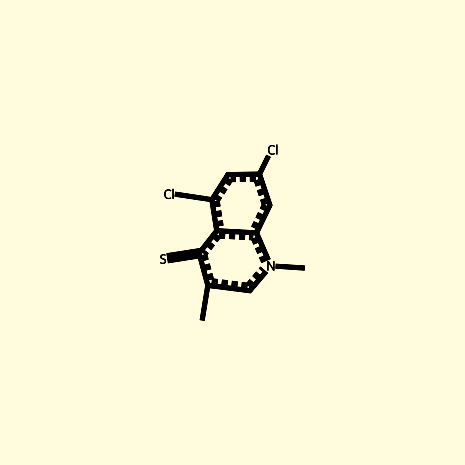 Cc1cn(C)c2cc(Cl)cc(Cl)c2c1=S